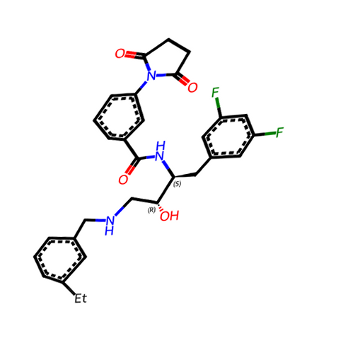 CCc1cccc(CNC[C@@H](O)[C@H](Cc2cc(F)cc(F)c2)NC(=O)c2cccc(N3C(=O)CCC3=O)c2)c1